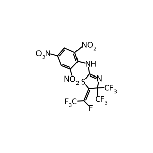 O=[N+]([O-])c1cc([N+](=O)[O-])c(NC2=NC(C(F)(F)F)(C(F)(F)F)C(=C(F)C(F)(F)F)S2)c([N+](=O)[O-])c1